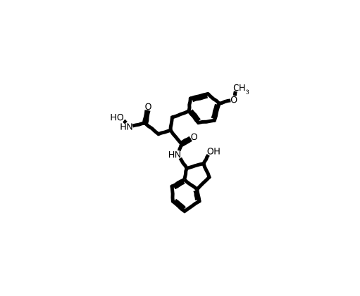 COc1ccc(CC(CC(=O)NO)C(=O)NC2c3ccccc3CC2O)cc1